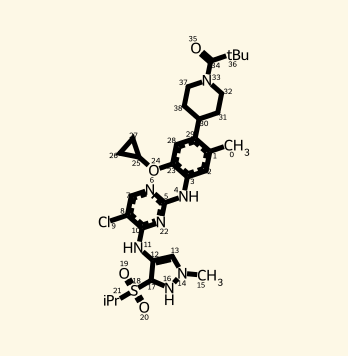 Cc1cc(Nc2ncc(Cl)c(NC3=CN(C)NC3S(=O)(=O)C(C)C)n2)c(OC2CC2)cc1C1CCN(C(=O)C(C)(C)C)CC1